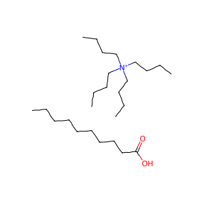 CCCCCCCCCC(=O)O.CCCC[N+](CCCC)(CCCC)CCCC